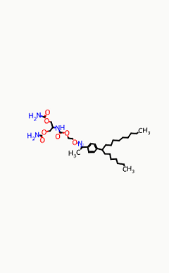 CCCCCCCCCC(CCCCCCC)c1ccc(/C(C)=N/OCCOC(=O)NC(COC(N)=O)COC(N)=O)cc1